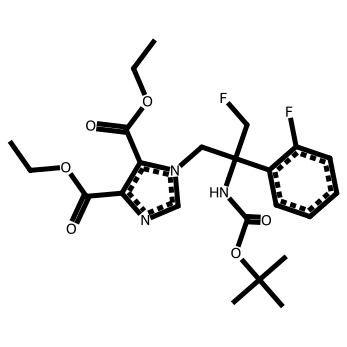 CCOC(=O)c1ncn(CC(CF)(NC(=O)OC(C)(C)C)c2ccccc2F)c1C(=O)OCC